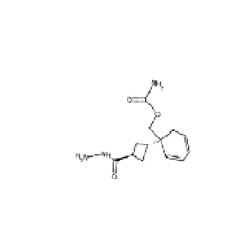 NNC(=O)[C@H]1C[C@H](C2(COC(N)=O)C=CC=CC2)C1